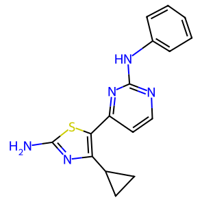 Nc1nc(C2CC2)c(-c2ccnc(Nc3ccccc3)n2)s1